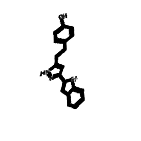 Oc1ccc(C=Cc2cc(C3=Cc4ccccc4[SH]3)n[nH]2)cc1